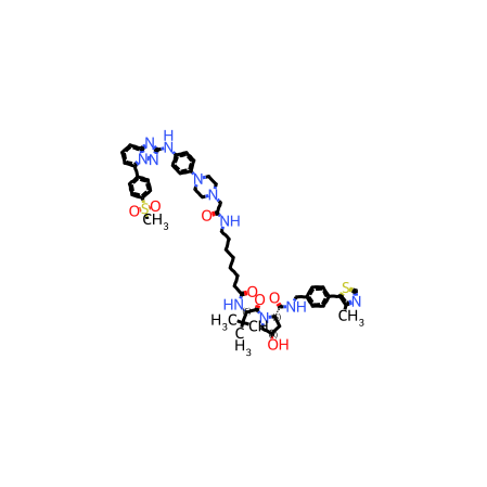 Cc1ncsc1-c1ccc(CNC(=O)[C@@H]2C[C@@H](O)CN2C(=O)[C@@H](NC(=O)CCCCCCCNC(=O)CN2CCN(c3ccc(Nc4nc5cccc(-c6ccc(S(C)(=O)=O)cc6)n5n4)cc3)CC2)C(C)(C)C)cc1